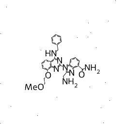 COCCOc1cccc2c(NCc3ccccc3)nc(-n3c(CN)nc4c(C(N)=O)cccc43)nc12